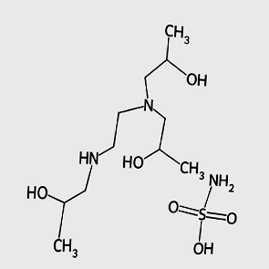 CC(O)CNCCN(CC(C)O)CC(C)O.NS(=O)(=O)O